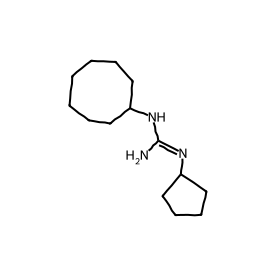 N/C(=N\C1CCCC1)NC1CCCCCCC1